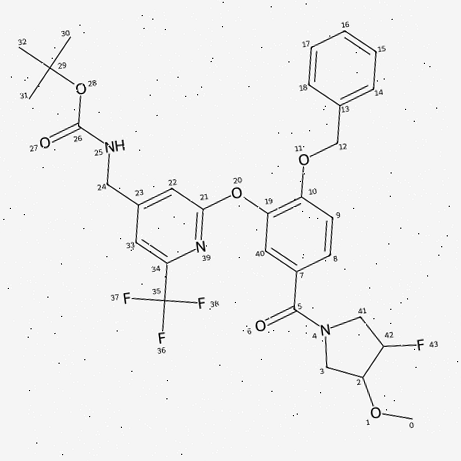 COC1CN(C(=O)c2ccc(OCc3ccccc3)c(Oc3cc(CNC(=O)OC(C)(C)C)cc(C(F)(F)F)n3)c2)CC1F